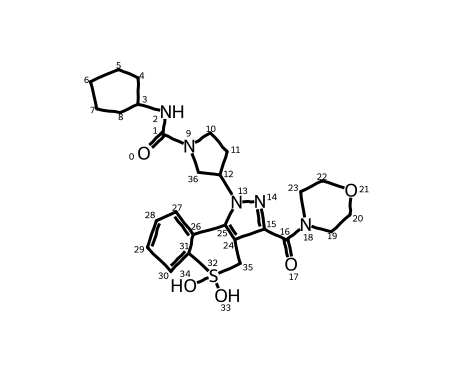 O=C(NC1CCCCC1)N1CCC(n2nc(C(=O)N3CCOCC3)c3c2-c2ccccc2S(O)(O)C3)C1